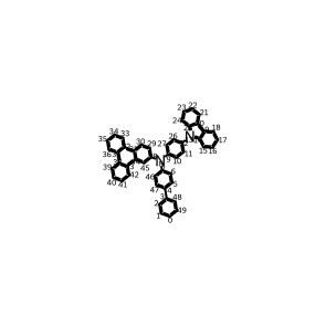 c1ccc(-c2ccc(N(c3ccc(-n4c5ccccc5c5ccccc54)cc3)c3ccc4c5ccccc5c5ccccc5c4c3)cc2)cc1